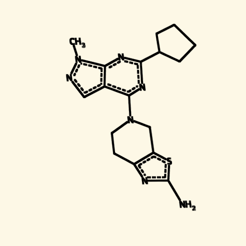 Cn1ncc2c(N3CCc4nc(N)sc4C3)nc(C3CCCC3)nc21